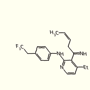 C/C=C\CC(=N)c1c(CC)ccnc1Nc1ccc(CC(F)(F)F)cc1